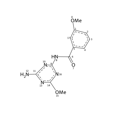 COc1cccc(C(=O)Nc2nc(N)nc(OC)n2)c1